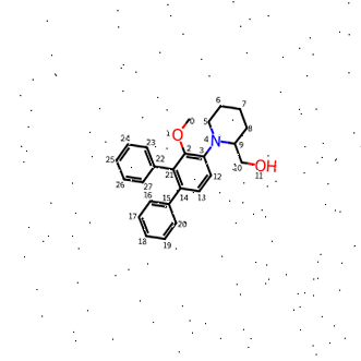 COc1c(N2CCCCC2CO)ccc(-c2ccccc2)c1-c1ccccc1